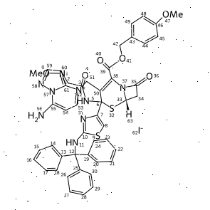 CON=CC(=O)NC1(c2csc(NC(c3ccccc3)(c3ccccc3)c3ccccc3)n2)S[C@H]2CC(=O)N2C(C(=O)OCc2ccc(OC)cc2)=C1C[n+]1ccc(N)n2nccc21.[I-]